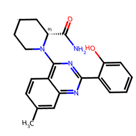 Cc1ccc2c(N3CC[CH]C[C@@H]3C(N)=O)nc(-c3ccccc3O)nc2c1